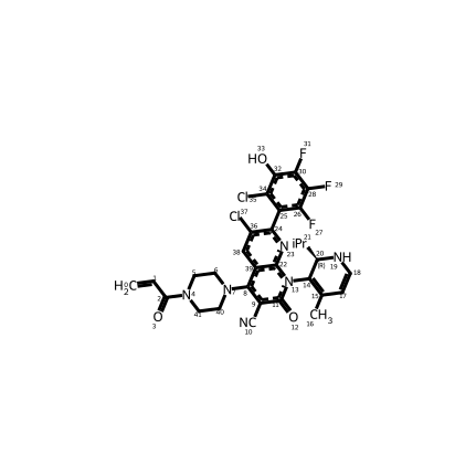 C=CC(=O)N1CCN(c2c(C#N)c(=O)n(C3=C(C)C=CN[C@@H]3C(C)C)c3nc(-c4c(F)c(F)c(F)c(O)c4Cl)c(Cl)cc23)CC1